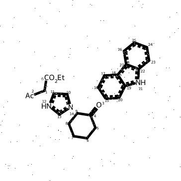 CCOC(=O)CC(C)=O.O=C1CCCCC1.c1c[nH]cn1.c1ccc2c(c1)[nH]c1ccccc12